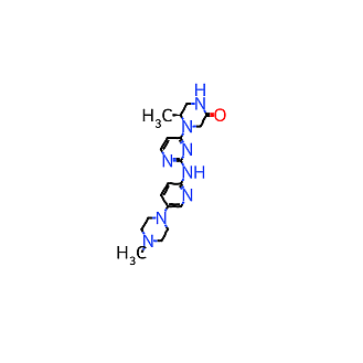 C[C@H]1CNC(=O)CN1c1ccnc(Nc2ccc(N3CCN(C)CC3)cn2)n1